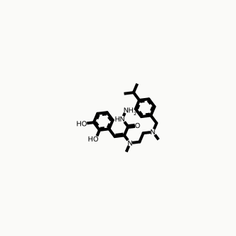 CC(C)c1ccc(CN(C)CCN(C)/C(=C/c2cccc(O)c2O)C(=O)NN)cc1